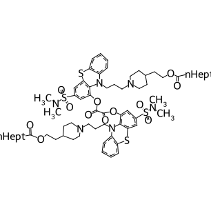 CCCCCCCC(=O)OCCC1CCN(CCCN2c3ccccc3Sc3cc(S(=O)(=O)N(C)C)cc(OC(=O)C(=O)Oc4cc(S(=O)(=O)N(C)C)cc5c4N(CCCN4CCC(CCOC(=O)CCCCCCC)CC4)c4ccccc4S5)c32)CC1